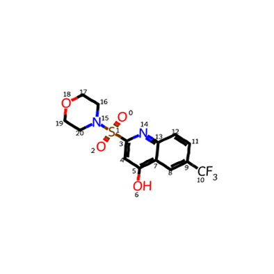 O=S(=O)(c1cc(O)c2cc(C(F)(F)F)ccc2n1)N1CCOCC1